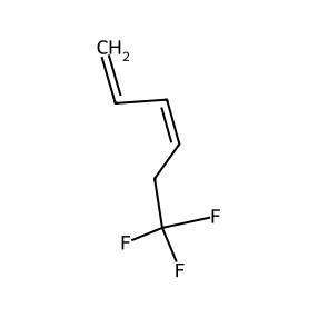 C=C/C=C\CC(F)(F)F